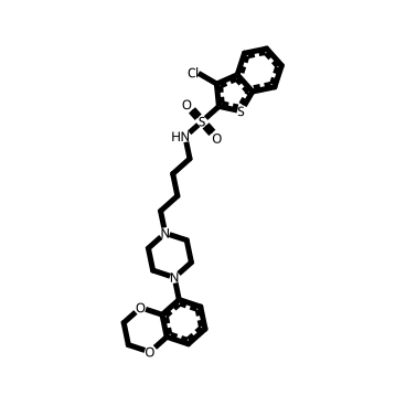 O=S(=O)(NCCCCN1CCN(c2cccc3c2OCCO3)CC1)c1sc2ccccc2c1Cl